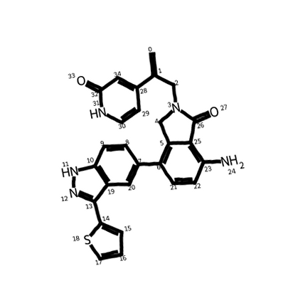 C=C(CN1Cc2c(-c3ccc4[nH]nc(-c5cccs5)c4c3)ccc(N)c2C1=O)c1cc[nH]c(=O)c1